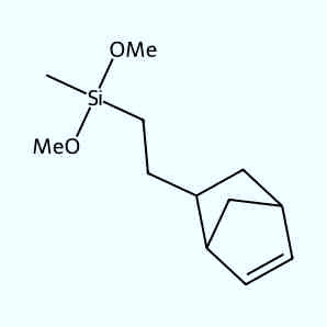 CO[Si](C)(CCC1CC2C=CC1C2)OC